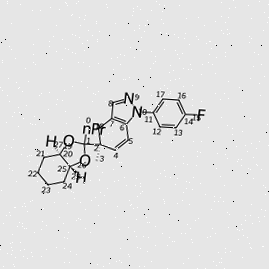 CCCC1([C@]2(C)C=Cc3c(cnn3-c3ccc(F)cc3)C2)O[C@@H]2CCCC[C@H]2O1